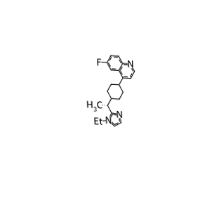 CCn1ccnc1[C@H](C)C1CCC(c2ccnc3ccc(F)cc23)CC1